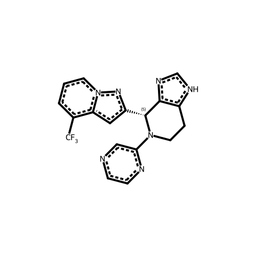 FC(F)(F)c1cccn2nc([C@@H]3c4nc[nH]c4CCN3c3cnccn3)cc12